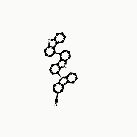 N#Cc1ccc2c(c1)c1ccccc1n2-c1cccc2c1oc1cccc(-c3cccc4oc5ccccc5c34)c12